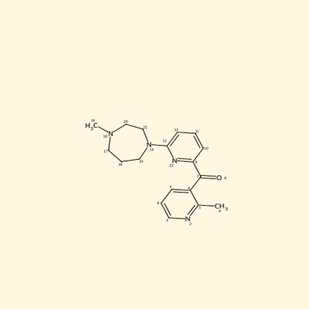 Cc1ncccc1C(=O)c1cccc(N2CCCN(C)CC2)n1